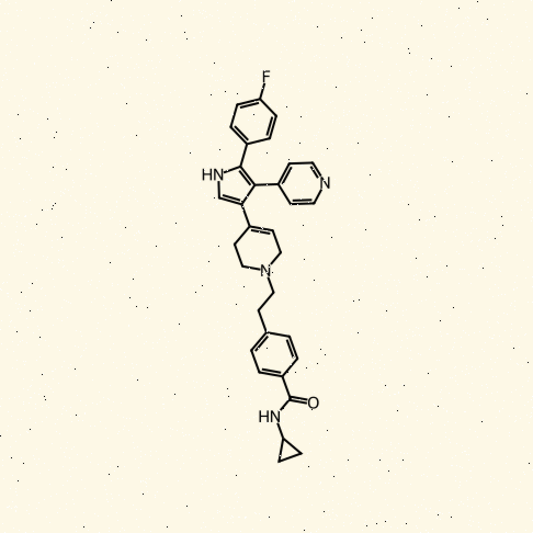 O=C(NC1CC1)c1ccc(CCN2CC=C(c3c[nH]c(-c4ccc(F)cc4)c3-c3ccncc3)CC2)cc1